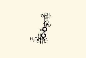 [C-]#[N+]C1(NNC(C)=O)CCN(c2ccc(N3C[C@H](CNC(C)=O)OC3=O)cc2F)CC1